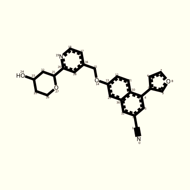 N#Cc1cc(-c2ccoc2)c2ccc(OCc3ccnc(C4CC(O)CCO4)c3)cc2c1